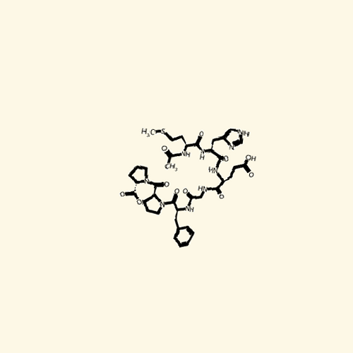 CSCC[C@H](NC(C)=O)C(=O)N[C@@H](Cc1c[nH]cn1)C(=O)N[C@@H](CCC(=O)O)C(=O)NCC(=O)N[C@@H](Cc1ccccc1)C(=O)N1CCC[C@H]1C(=O)N1CCC[C@H]1C(=O)O